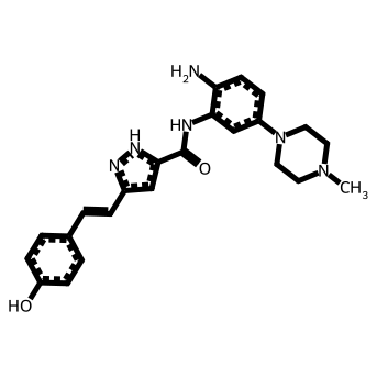 CN1CCN(c2ccc(N)c(NC(=O)c3cc(/C=C/c4ccc(O)cc4)n[nH]3)c2)CC1